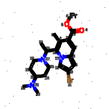 Cc1c(C(=O)OC(C)C)cc2cc(Br)cn2c1C(C)N1CCC(N(C)C)CC1